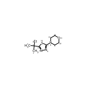 CCC(C)(C)c1nnc(N2CCOCC2)s1